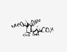 COc1cc(OC)c(-c2cc(C(=O)O)no2)c(OC)c1